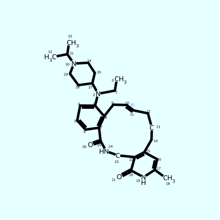 CCN(c1cccc2c1C/C=C/CCCc1cc(C)[nH]c(=O)c1CNC2=O)C1CCN(C(C)C)CC1